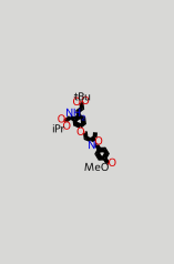 COC(=O)c1ccc(-c2nc(CCOc3ccc(CCC(=O)OC(C)(C)C)c(C(N)C(=O)OC(C)C)c3)c(C)o2)cc1